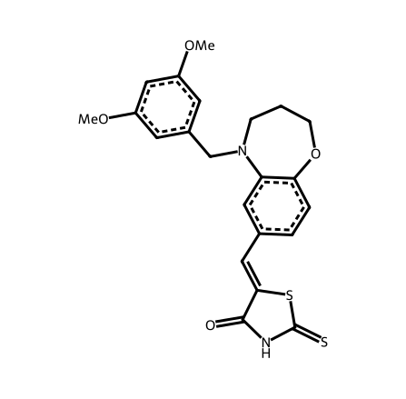 COc1cc(CN2CCCOc3ccc(/C=C4\SC(=S)NC4=O)cc32)cc(OC)c1